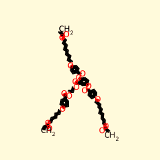 C=CC(=O)OCCCCCCCCCOc1ccc(C(=O)Oc2ccc(OC(=O)c3ccc(OCCCCCCCCCOC(=O)C=C)cc3)c(C(=O)OCCCOC(=O)c3ccc(OCCCCCCOC(=O)C=C)cc3)c2)cc1